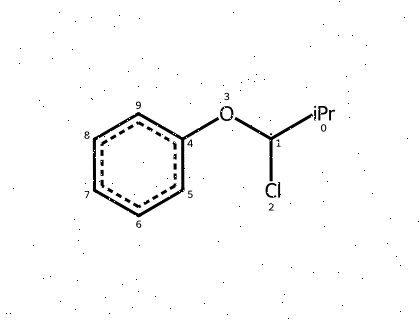 CC(C)[C](Cl)Oc1ccccc1